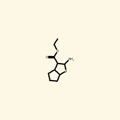 CCOC(=O)C1C(N)SC2CCCC21